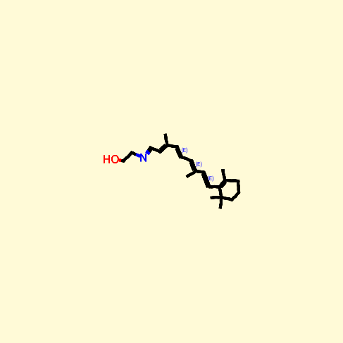 CC(=CC=NCCO)/C=C/C=C(C)/C=C/C1=C(C)CCCC1(C)C